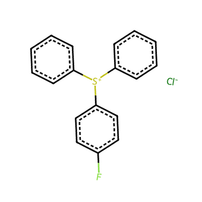 Fc1ccc([S+](c2ccccc2)c2ccccc2)cc1.[Cl-]